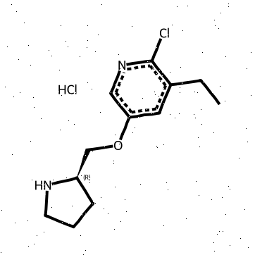 CCc1cc(OC[C@H]2CCCN2)cnc1Cl.Cl